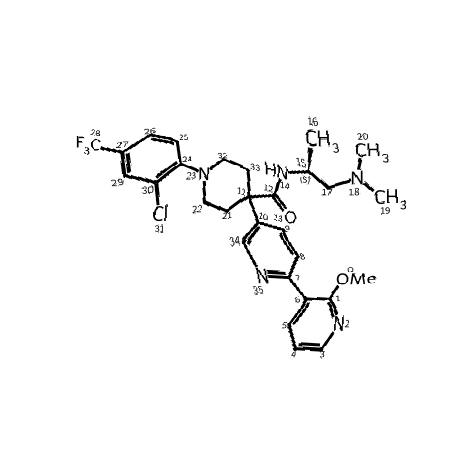 COc1ncccc1-c1ccc(C2(C(=O)N[C@@H](C)CN(C)C)CCN(c3ccc(C(F)(F)F)cc3Cl)CC2)cn1